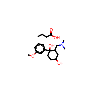 CCCC(=O)O.COc1cccc(C2(O)CCC(O)CC2CN(C)C)c1